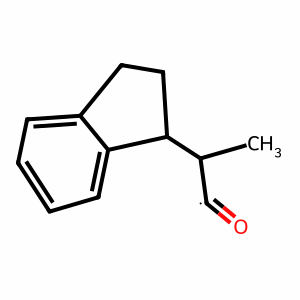 CC([C]=O)C1CCc2ccccc21